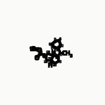 C[C@H](c1ccccc1)N1CC[C@@H]2CN(C(=O)OC(C)(C)C)C[C@@H]21